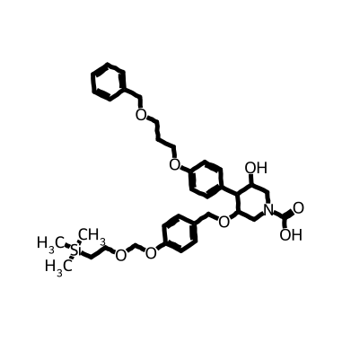 C[Si](C)(C)CCOCOc1ccc(COC2CN(C(=O)O)CC(O)C2c2ccc(OCCCOCc3ccccc3)cc2)cc1